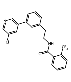 O=C(NCCc1cccc(-c2cncc(Cl)c2)c1)c1ccccc1C(F)(F)F